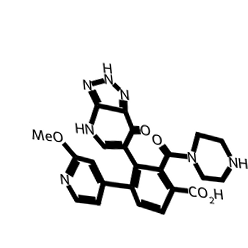 COc1cc(-c2ccc(C(=O)O)c(C(=O)N3CCNCC3)c2-c2c[nH]c3n[nH]nc3c2=O)ccn1